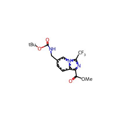 COC(=O)c1nc(C(F)(F)F)n2cc(CNC(=O)OC(C)(C)C)ccc12